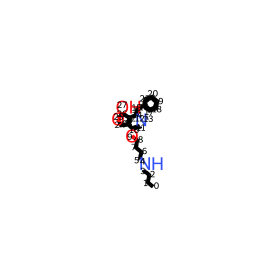 CCCCNCCCCOC1=CN(C)C(Cc2ccccc2)C2=C1COC2O